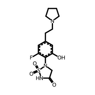 O=C1CN(c2c(O)cc(CCN3CCCC3)cc2F)S(=O)(=O)N1